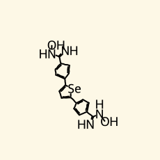 N=C(NO)c1ccc(-c2ccc(-c3ccc(C(=N)NO)cc3)[se]2)cc1